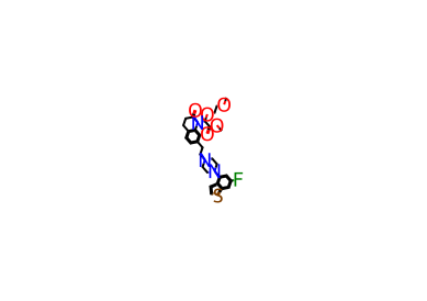 COCCOC(C(=O)OC)N1C(=O)CCc2ccc(CCN3CCN(c4cc(F)cc5sccc45)CC3)cc21